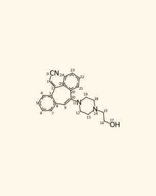 N#C/C=C1/c2ccccc2C=C(N2CCN(CCO)CC2)c2ccccc21